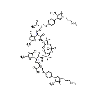 C[n+]1c(N)c(-c2ccc(OC[C@H](O/N=C(\C(=O)N[C@@H]3C(=O)N(OS(=O)(=O)ON4C(=O)[C@@H](NC(=O)/C(=N\O[C@@H](COc5ccc(-c6cn(CCCN)[n+](C)c6N)cc5)C(=O)O)c5nc(N)sc5Cl)C4(C)C)C3(C)C)c3nc(N)sc3Cl)C(=O)O)cc2)cn1CCCN